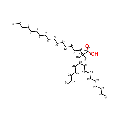 CCCCCCCCCCCCCCCCC(C)(CC(CCCCC)CCCCCCCCC)C(=O)O